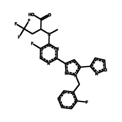 CN(c1nc(-c2cc(-c3ccon3)n(Cc3ccccc3F)n2)ncc1F)C(CC(F)(F)F)C(=O)O